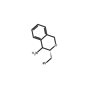 CC(C)C[C@H]1OCc2ccccc2C1N